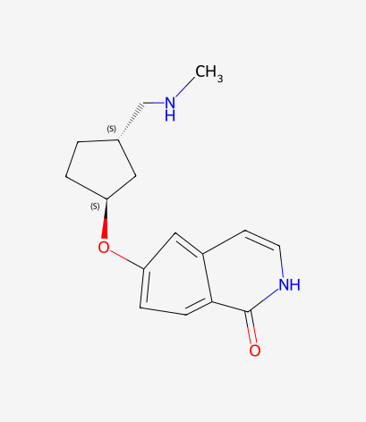 CNC[C@H]1CC[C@H](Oc2ccc3c(=O)[nH]ccc3c2)C1